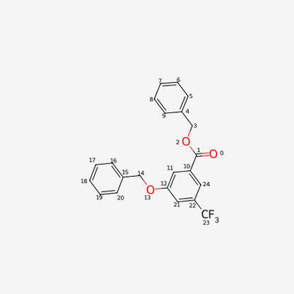 O=C(OCc1ccccc1)c1cc(OCc2ccccc2)cc(C(F)(F)F)c1